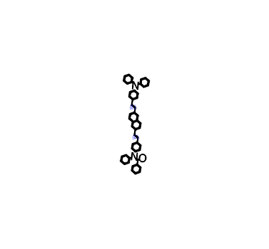 O=C(c1ccccc1)N(c1ccccc1)c1ccc(/C=C/c2ccc3cc(/C=C/c4ccc(N(c5ccccc5)c5ccccc5)cc4)ccc3c2)cc1